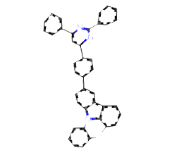 c1ccc(-c2cc(-c3ccc(-c4ccc5c(c4)c4cccc6c4n5-c4ccccc4O6)cc3)nc(-c3ccccc3)n2)cc1